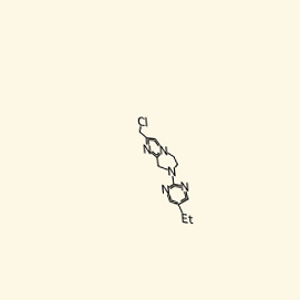 CCc1cnc(N2CCn3cc(CCl)nc3C2)nc1